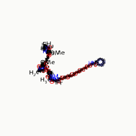 COc1cc2c(cc1OCCCCCOc1cc3c(cc1OC)C(=O)N1C=C(C)C[C@H]1[C@H](O)N3C(=O)OCc1ccc(NC(=O)C(C)NC(=O)[C@@H](NC(=O)CCOCCOCCOCCOCCOCCOCCOCCOCCNC(=O)CC3=C/C=C\C=C/C=C\C=C/C=C\3)C(C)C)cc1)N=C[C@@H]1CC(C)=CN1C2=O